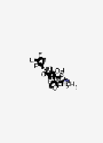 C/C=C\CN1C(=O)c2c(O)c(=O)c(C(=O)NCc3ccc(F)c(Cl)c3F)cn2[C@H]2CCOC[C@]21C